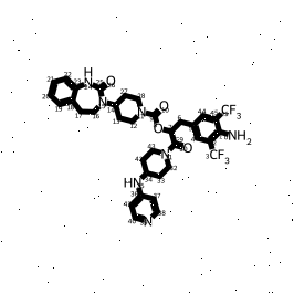 Nc1c(C(F)(F)F)cc(CC(OC(=O)N2CCC(N3CCc4ccccc4NC3=O)CC2)C(=O)N2CCC(Nc3ccncc3)CC2)cc1C(F)(F)F